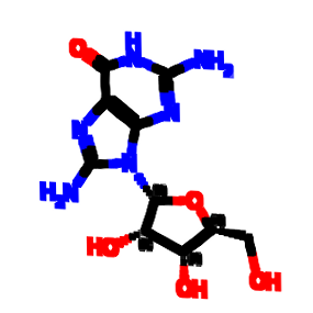 Nc1nc2c(nc(N)n2[C@@H]2O[C@H](CO)[C@H](O)[C@@H]2O)c(=O)[nH]1